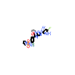 CC(C)n1c(=O)c(-c2ccc(NS(=O)(=O)N3CCCC3)c(F)c2)nc2cnc(N[C@@H]3CNC[C@@H](F)C3)nc21